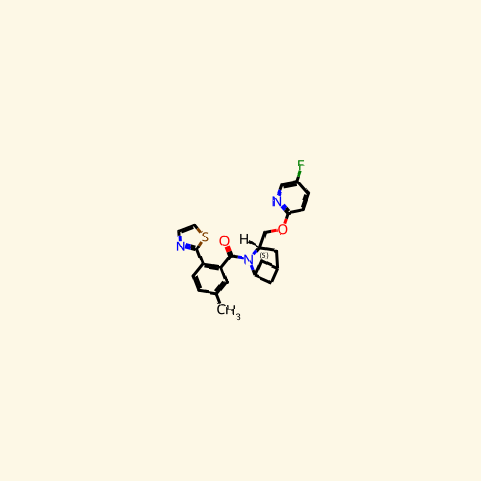 Cc1ccc(-c2nccs2)c(C(=O)N2C3CC(C3)C[C@H]2COc2ccc(F)cn2)c1